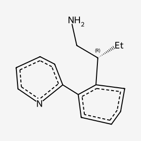 CC[C@@H](CN)c1ccccc1-c1ccccn1